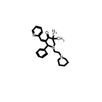 CC1(C)CN(CCN2CCCCC2)C(c2ccccc2)C(=Cc2ccccn2)C1=O